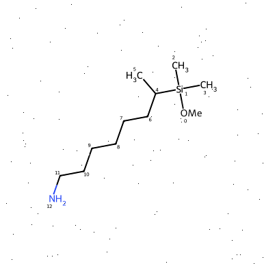 CO[Si](C)(C)C(C)CCCCCCN